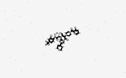 CCc1c(N2CCN(C(=O)c3ncccc3F)CC2)c(=O)n2nc(C3=CCOCC3)nc2n1CC(=O)Nc1ccc(C(F)(F)F)cc1Cl